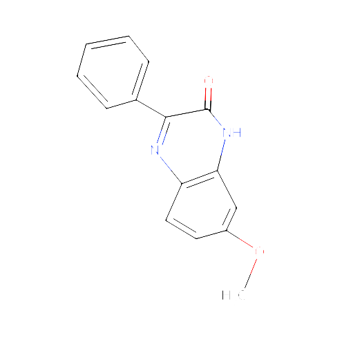 COc1ccc2nc(-c3ccccc3)c(=O)[nH]c2c1